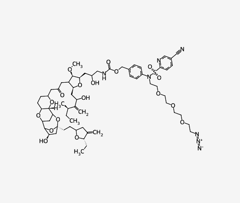 C=C(C(O)C[C@@H]1O[C@H](CC(O)CNC(=O)OCc2ccc(N(CCOCCOCCOCCN=[N+]=[N-])S(=O)(=O)c3ccc(C#N)cn3)cc2)[C@H](OC)C1CC(=O)CC1CCC2OC3CC(O[C@@]4(CCC5CC(=C)[C@H](CC)O5)C[C@@H](O)C3O4)[C@H]2O1)[C@H](C)CC